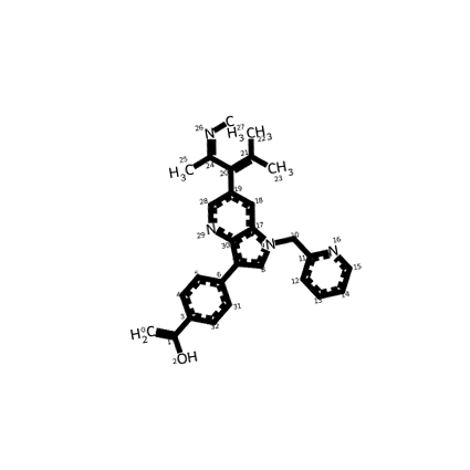 C=C(O)c1ccc(-c2cn(Cc3ccccn3)c3cc(C(=C(C)C)/C(C)=N\C)cnc23)cc1